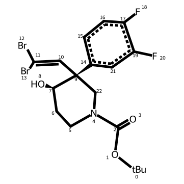 CC(C)(C)OC(=O)N1CC[C@@H](O)[C@@](C=C(Br)Br)(c2ccc(F)c(F)c2)C1